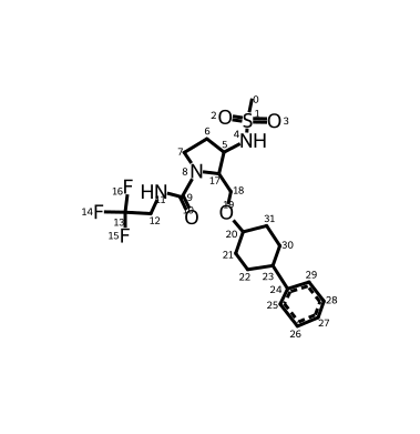 CS(=O)(=O)NC1CCN(C(=O)NCC(F)(F)F)C1COC1CCC(c2ccccc2)CC1